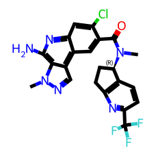 CN(C(=O)c1cc2c(cc1Cl)nc(N)c1c2cnn1C)[C@@H]1CCc2nc(C(F)(F)F)ccc21